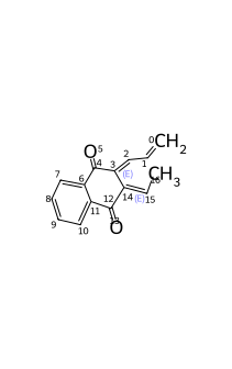 C=C/C=C1/C(=O)c2ccccc2C(=O)/C1=C/C